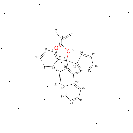 C=C(C)C(=O)OC(c1ccccc1)(c1ccccc1)c1ccc2ccccc2c1